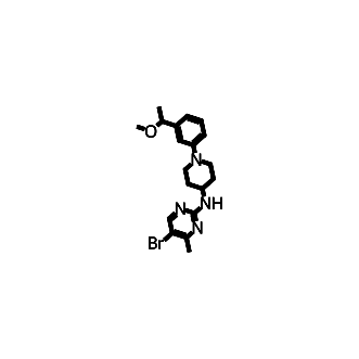 COC(C)c1cccc(N2CCC(Nc3ncc(Br)c(C)n3)CC2)c1